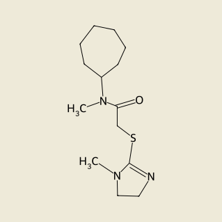 CN1CCN=C1SCC(=O)N(C)C1CCCCCC1